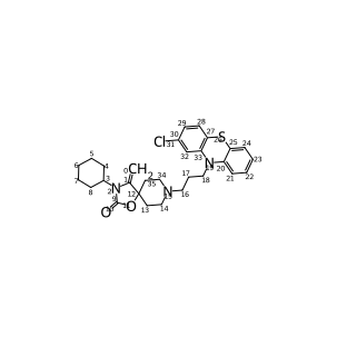 C=C1N(C2CCCCC2)C(=O)OC12CCN(CCCN1c3ccccc3Sc3ccc(Cl)cc31)CC2